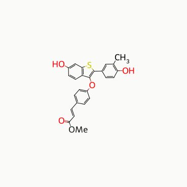 COC(=O)C=Cc1ccc(Oc2c(-c3ccc(O)c(C)c3)sc3cc(O)ccc23)cc1